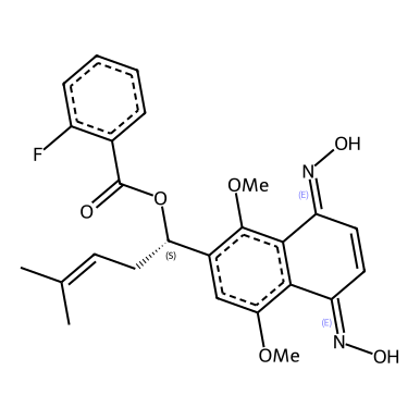 COc1cc([C@H](CC=C(C)C)OC(=O)c2ccccc2F)c(OC)c2c1/C(=N/O)C=C/C2=N\O